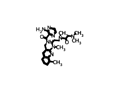 Cc1cccc2cc(CNC(=O)c3nccnc3N)c(N(C)CCCN(C)C(=O)CN(C)C)nc12